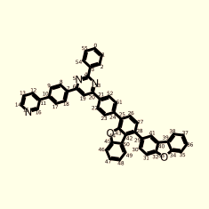 c1ccc(-c2nc(-c3ccc(-c4cccnc4)cc3)cc(-c3ccc(-c4ccc(-c5ccc6oc7ccccc7c6c5)c5c4oc4ccccc45)cc3)n2)cc1